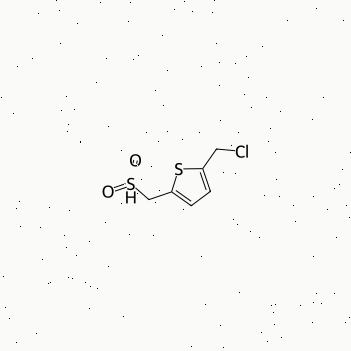 O=[SH](=O)Cc1ccc(CCl)s1